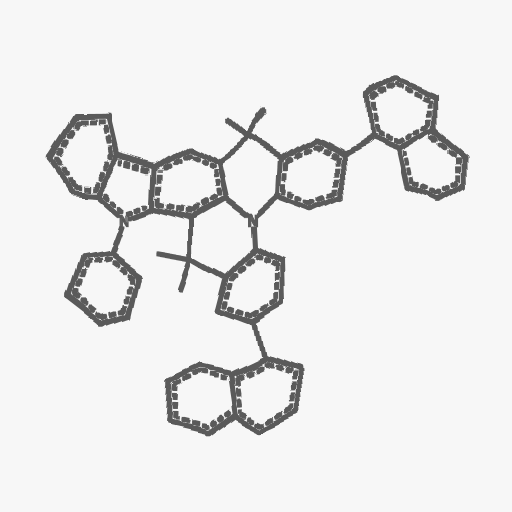 CC1(C)c2cc(-c3cccc4ccccc34)ccc2N2c3ccc(-c4cccc5ccccc45)cc3C(C)(C)c3c2c1cc1c2ccccc2n(-c2ccccc2)c31